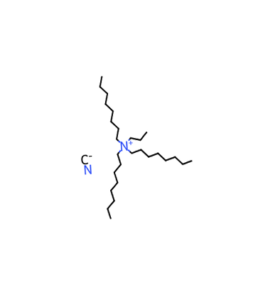 CCCCCCCC[N+](CCC)(CCCCCCCC)CCCCCCCC.[C-]#N